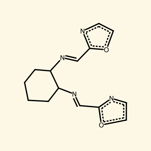 C(=NC1CCCCC1N=Cc1ncco1)c1ncco1